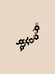 C=Cc1ccc(C)c(N(CC2CCC(C)C2)/C(=C/CC)C(C)N2CCN(c3cccc(OCc4ccc(Cl)cc4F)n3)CC2)c1